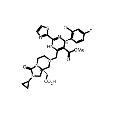 COC(=O)C1=C(CN2CCN3C(=O)N(C4CC4)C[C@]3(CC(=O)O)C2)NC(c2nccs2)=N[C@H]1c1ccc(F)cc1Cl